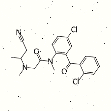 CC(CC#N)N(C)CC(=O)N(C)c1ccc(Cl)cc1C(=O)c1ccccc1Cl